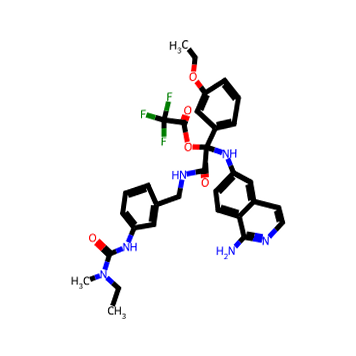 CCOc1cccc(C(Nc2ccc3c(N)nccc3c2)(OC(=O)C(F)(F)F)C(=O)NCc2cccc(NC(=O)N(C)CC)c2)c1